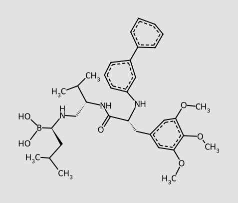 COc1cc(C[C@@H](Nc2cccc(-c3ccccc3)c2)C(=O)N[C@H](CN[C@@H](CC(C)C)B(O)O)C(C)C)cc(OC)c1OC